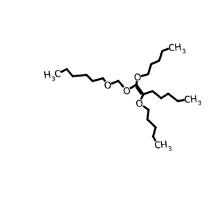 CCCCCCOCOC(OCCCCC)=C(CCCCC)OCCCCC